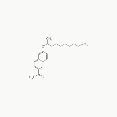 CCCCCCCCC(C)Oc1ccc2cc(C(C)=O)ccc2c1